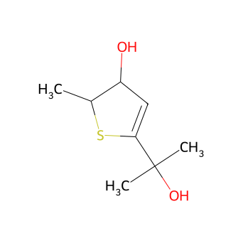 CC1SC(C(C)(C)O)=CC1O